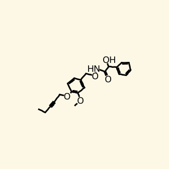 CCC#CCOc1ccc(CONC(=O)C(O)c2ccccc2)cc1OC